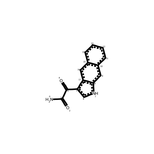 NC(=O)C(=O)c1c[nH]c2cc3ccccc3cc12